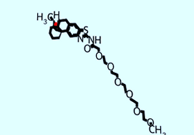 COCCOCCOCCOCCOCCOCC(=O)Nc1nc2cc3c(cc2s1)C[C@@H]1[C@@H]2CCCC[C@]32CCN1C